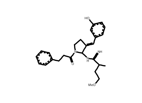 COCCC(C)C(=N)NC1/C(=C/c2cccc(O)c2)CCN1C(=O)CCc1ccccc1